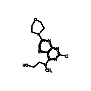 CN(CCO)c1nc(Cl)nc2nc(N3CCOCC3)cnc12